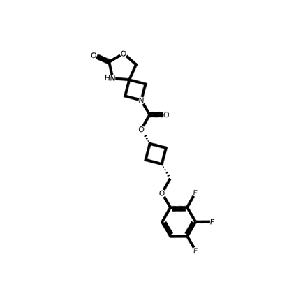 O=C1NC2(CO1)CN(C(=O)O[C@H]1C[C@@H](COc3ccc(F)c(F)c3F)C1)C2